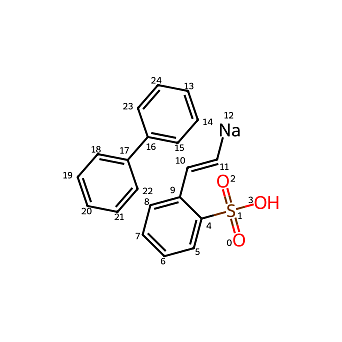 O=S(=O)(O)c1ccccc1C=[CH][Na].c1ccc(-c2ccccc2)cc1